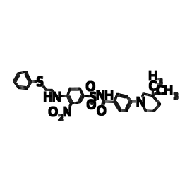 CC1(C)CCCN(c2ccc(C(=O)NS(=O)(=O)c3ccc(NCCSc4ccccc4)c([N+](=O)[O-])c3)cc2)C1